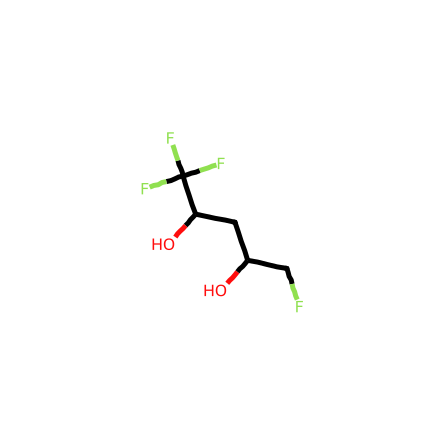 OC(CF)CC(O)C(F)(F)F